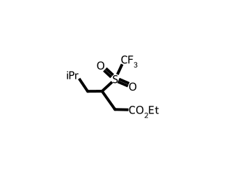 CCOC(=O)CC(CC(C)C)S(=O)(=O)C(F)(F)F